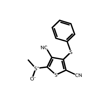 C[S+]([O-])c1sc(C#N)c(Sc2ccccc2)c1C#N